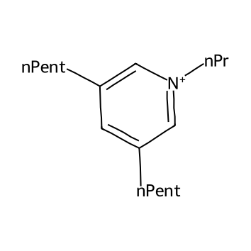 CCCCCc1cc(CCCCC)c[n+](CCC)c1